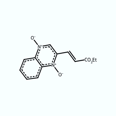 CCOC(=O)C=Cc1c[n+]([O-])c2ccccc2[n+]1[O-]